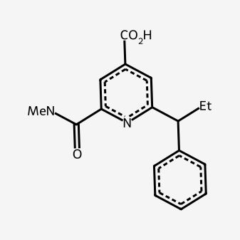 CCC(c1ccccc1)c1cc(C(=O)O)cc(C(=O)NC)n1